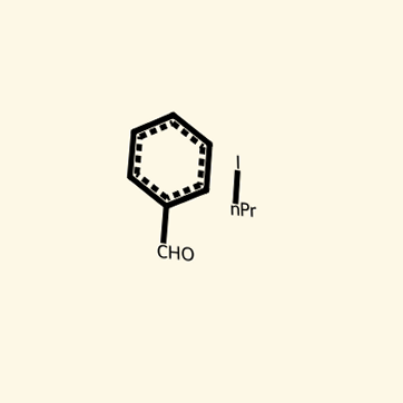 CCCI.O=Cc1ccccc1